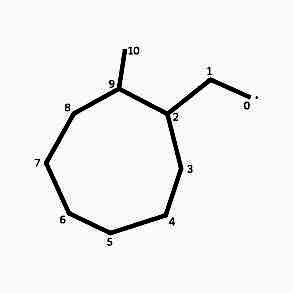 [CH2]CC1CCCCCCC1C